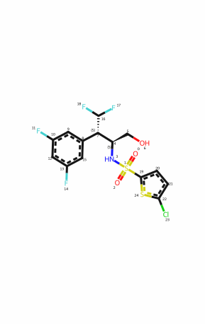 O=S(=O)(N[C@H](CO)[C@H](c1cc(F)cc(F)c1)C(F)F)c1ccc(Cl)s1